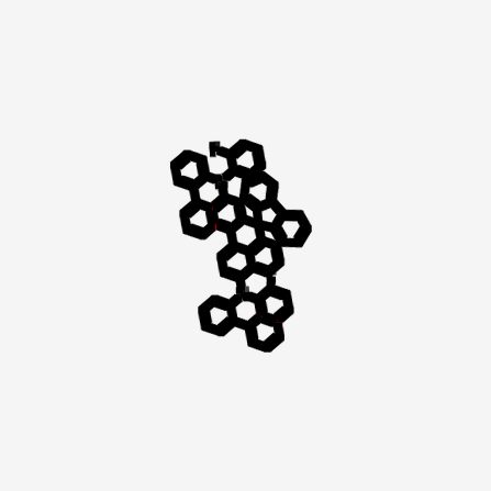 Fc1ccccc1N(c1ccc2c(c1)C1(c3ccccc3-c3ccccc31)c1cccc3c(N(c4ccccc4F)c4ccccc4-c4ccccc4)ccc-2c13)c1ccccc1-c1ccccc1